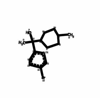 CC1CCC(C(C)(O)c2ccc(Br)cn2)CC1